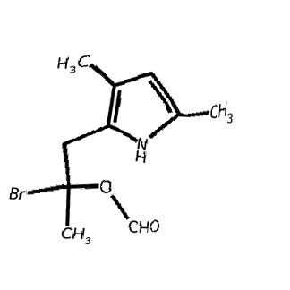 Cc1cc(C)c(CC(C)(Br)OC=O)[nH]1